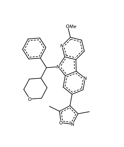 COc1ccc2c3ncc(-c4c(C)noc4C)cc3n(C(c3ccccc3)C3CCOCC3)c2n1